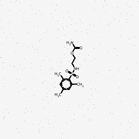 Cc1cc(C)c(S(=O)(=O)NCCOC(N)=O)c(C)c1